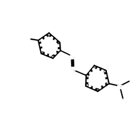 CCN(C)c1ccc(/N=N/c2ccc(S(=O)(=O)O)cc2)cc1